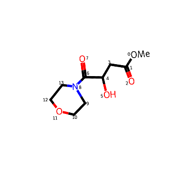 COC(=O)CC(O)C(=O)N1CCOCC1